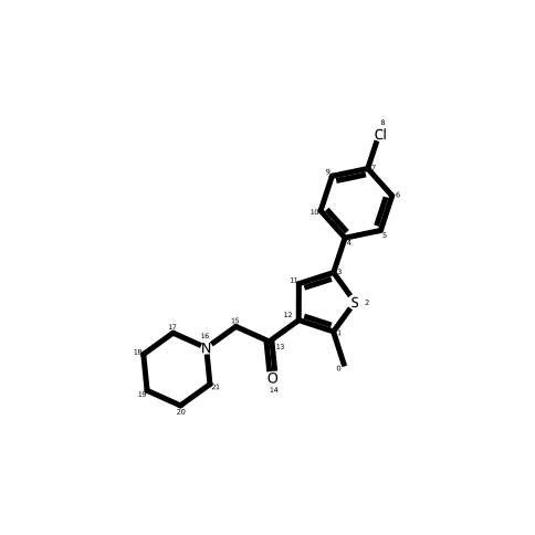 Cc1sc(-c2ccc(Cl)cc2)cc1C(=O)CN1CCCCC1